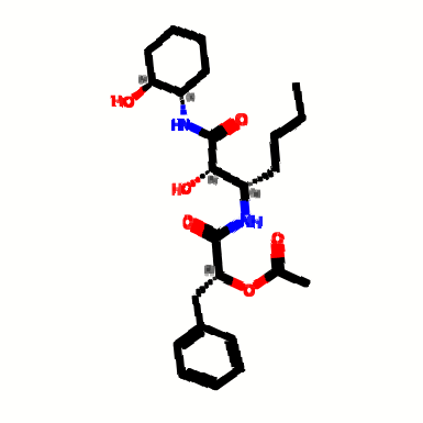 CCCC[C@H](NC(=O)[C@@H](Cc1ccccc1)OC(C)=O)[C@H](O)C(=O)N[C@H]1CCCC[C@@H]1O